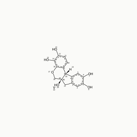 Oc1cc2c(cc1O)[C@H]1c3ccc(O)c(O)c3OC[C@@]1(O)C2.[V]